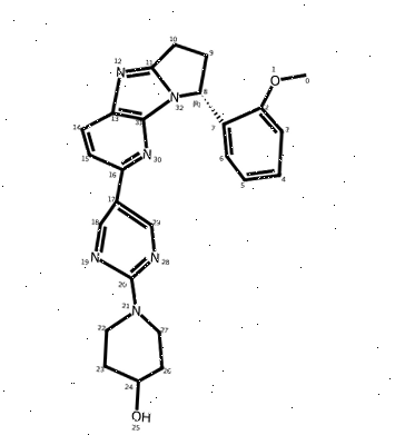 COc1ccccc1[C@H]1CCc2nc3ccc(-c4cnc(N5CCC(O)CC5)nc4)nc3n21